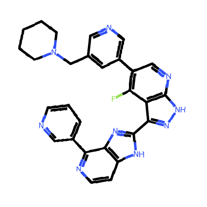 Fc1c(-c2cncc(CN3CCCCC3)c2)cnc2[nH]nc(-c3nc4c(-c5cccnc5)nccc4[nH]3)c12